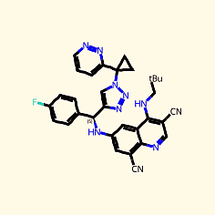 CC(C)(C)CNc1c(C#N)cnc2c(C#N)cc(N[C@@H](c3ccc(F)cc3)c3cn(C4(c5cccnn5)CC4)nn3)cc12